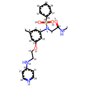 CNC(=O)CN(c1cc(C)cc(OCCNc2ccncc2)c1)S(=O)(=O)c1ccccc1